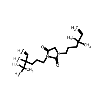 C=CC(C)(C)CCCN1CC(=O)N(CCCC(C)(C=C)C(C)(C)C)C1=O